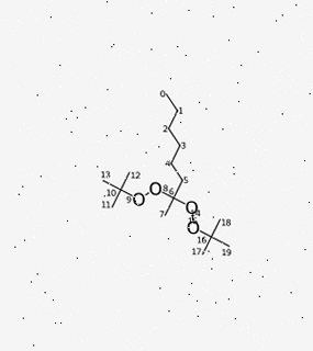 CCCCCCC(C)(OOC(C)(C)C)OOC(C)(C)C